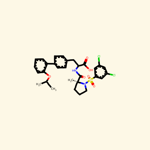 CC(C)Oc1ccccc1-c1ccc(CC(NC(=O)[C@]2(C)CCCN2S(=O)(=O)c2cc(Cl)cc(Cl)c2)C(=O)O)cc1